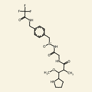 COC(C1CCCN1)C(C)C(=O)NCC(=O)N[S+]([O-])Cc1ccc(CNC(=O)C(F)(F)F)cc1